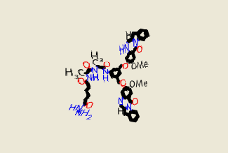 COc1cc2c(cc1OCc1cc(COc3cc4c(cc3OC)C(=O)N3c5ccccc5C[C@H]3CN4)cc(NC(=O)[C@H](C)NC(=O)[C@H](C)NC(=O)CCCCC(=O)NN)c1)N=C[C@@H]1Cc3ccccc3N1C2=O